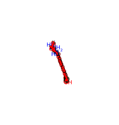 CCCN(CCCNC(=O)OC(C)C)C(=O)C1=Cc2ccc(-c3cnc(CNC(=O)CCOCCOCCOCCOCCOCCOCCOCCOCCOCCOCCC(=O)Oc4c(F)c(F)c(S(=O)(=O)O)c(F)c4F)nc3)cc2N=C(N)C1